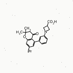 CC(C)c1cc2c(c(-c3cccc(N4CC(C(=O)O)C4)c3)c1)C(=O)CC(C)(C)O2